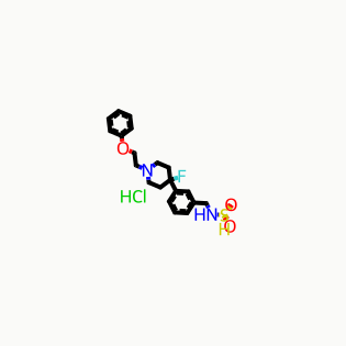 Cl.O=[SH](=O)NCc1cccc(C2(F)CCN(CCOc3ccccc3)CC2)c1